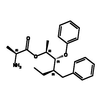 CC[C@H](Cc1ccccc1)[C@@H](Oc1ccccc1)[C@H](C)OC(=O)[C@H](C)N